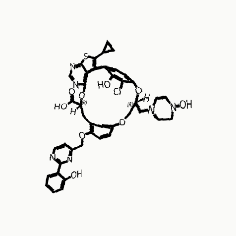 O=C(O)[C@H]1Cc2cc(ccc2OCc2ccnc(-c3ccccc3O)n2)OC[C@@H](CN2CCN(O)CC2)Oc2ccc(c(O)c2Cl)-c2c(C3CC3)sc3ncnc(c23)O1